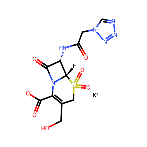 O=C(Cn1cnnn1)N[C@H]1C(=O)N2C(C(=O)[O-])=C(CO)CS(=O)(=O)[C@@H]12.[K+]